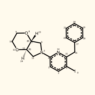 Ic1ccc(N2C[C@H]3OCCO[C@@H]3C2)nc1Cc1ccccc1